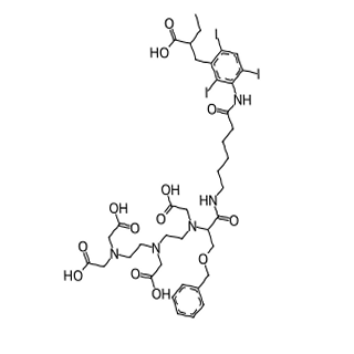 CCC(Cc1c(I)cc(I)c(NC(=O)CCCCCNC(=O)C(COCc2ccccc2)N(CCN(CCN(CC(=O)O)CC(=O)O)CC(=O)O)CC(=O)O)c1I)C(=O)O